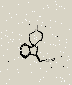 O=C/C=C1\CC2(CCNCC2)c2ccccc21